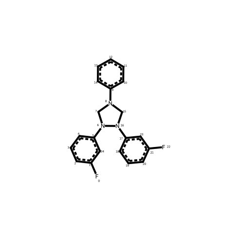 Fc1cccc(N2CN(c3ccccc3)CN2c2cccc(F)c2)c1